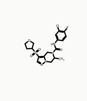 CC1Cn2ncc(S(=O)(=O)C3CCOC3)c2CN1C(=O)Nc1ccc(F)c(Cl)c1